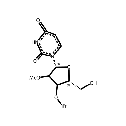 COC1C(OC(C)C)[C@@H](CO)O[C@H]1n1ccc(=O)[nH]c1=O